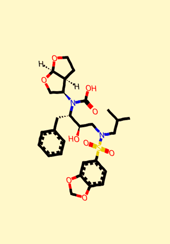 CC(C)CN(C[C@@H](O)[C@H](Cc1ccccc1)N(C(=O)O)[C@H]1CO[C@H]2OCC[C@H]21)S(=O)(=O)c1ccc2c(c1)OCO2